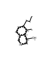 CCCc1ccc2cncc(O)c2c1C